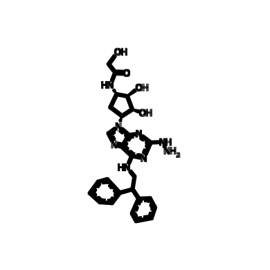 NNc1nc(NCC(c2ccccc2)c2ccccc2)c2ncn([C@@H]3C[C@H](NC(=O)CO)[C@@H](O)[C@H]3O)c2n1